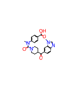 CN(C(=O)N1CCC(C(=O)c2ccc3ncn(C)c3c2)CC1)c1ccc(C(=O)O)cc1